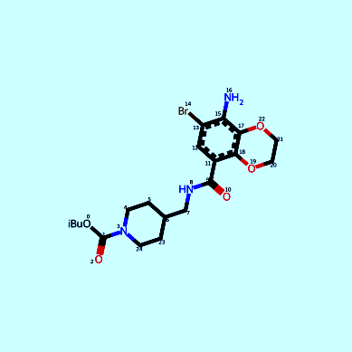 CC(C)COC(=O)N1CCC(CNC(=O)c2cc(Br)c(N)c3c2OCCO3)CC1